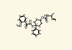 C=CC(C)NC(=O)OC1CCC(CNC(=O)c2ccccc2OC)(c2ccccc2)CC1